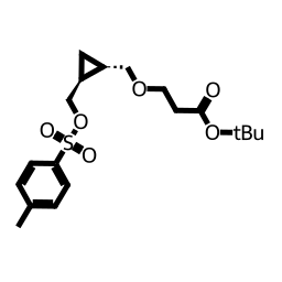 Cc1ccc(S(=O)(=O)OC[C@H]2C[C@@H]2COCCC(=O)OC(C)(C)C)cc1